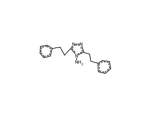 Nn1c(CCc2ccccc2)nnc1CCc1ccccc1